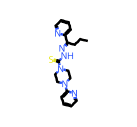 CCC/C(=N\NC(=S)N1CCN(c2ccccn2)CC1)c1ccccn1